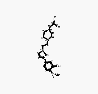 COc1ccc(N2C=CN(CCN3CCN(CC(F)F)CC3)C2)cc1F